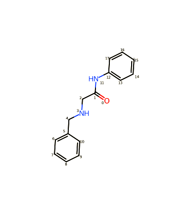 O=C(CNCc1ccccc1)Nc1cc[c]cc1